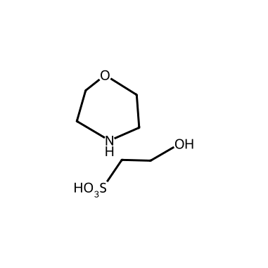 C1COCCN1.O=S(=O)(O)CCO